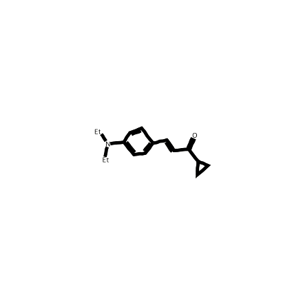 CCN(CC)c1ccc(C=CC(=O)C2CC2)cc1